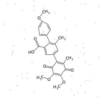 COC1=C(OC)C(=O)C(c2cc(C)c(-c3ccc(OC)cc3)c(C(=O)O)c2)=C(C)C1=O